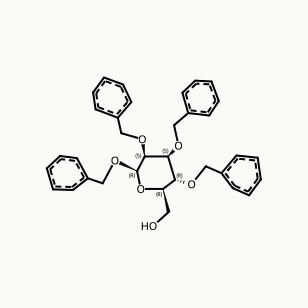 OC[C@H]1O[C@@H](OCc2ccccc2)[C@@H](OCc2ccccc2)[C@@H](OCc2ccccc2)[C@@H]1OCc1ccccc1